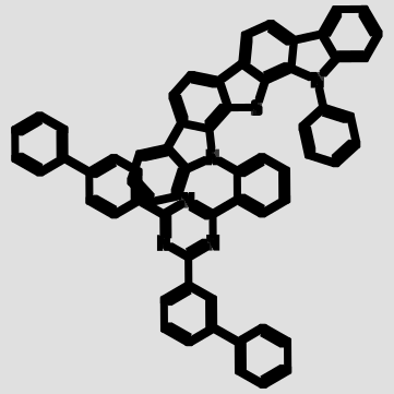 c1ccc(-c2ccc(-c3nc(-c4cccc(-c5ccccc5)c4)nc(-c4ccccc4-n4c5ccccc5c5ccc6c7ccc8c9ccccc9n(-c9ccccc9)c8c7sc6c54)n3)cc2)cc1